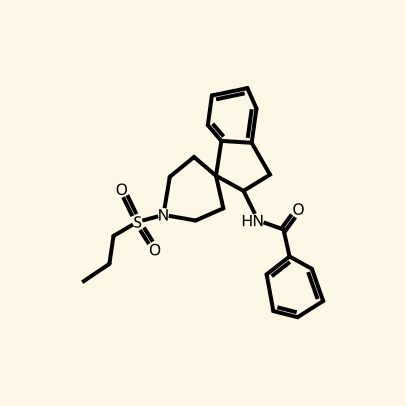 CCCS(=O)(=O)N1CCC2(CC1)c1ccccc1CC2NC(=O)c1ccccc1